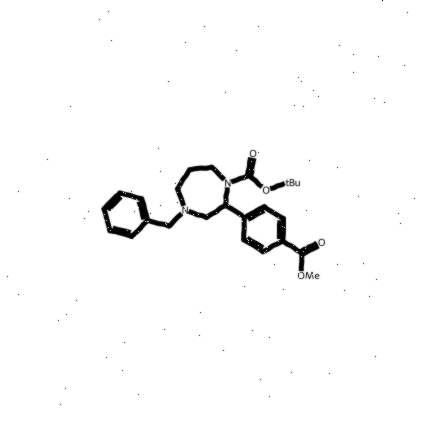 COC(=O)c1ccc(C2CN(Cc3ccccc3)CCCN2C(=O)OC(C)(C)C)cc1